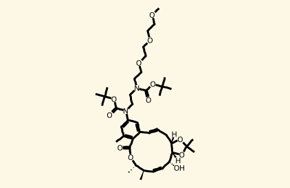 COCCOCCOCCN(CCN(C(=O)OC(C)(C)C)c1cc(C)c2c(c1)/C=C/C[C@@H]1OC(C)(C)O[C@@H]1[C@H](O)/C=C\[C@@H](C)[C@H](C)OC2=O)C(=O)OC(C)(C)C